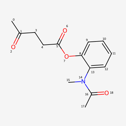 CC(=O)CCC(=O)Oc1ccccc1N(C)C(C)=O